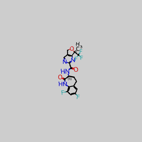 C[C@@]1(C(F)(F)F)OCc2cnc(C(=O)N[C@H]3CCc4cc(F)cc(F)c4NC3=O)nc21